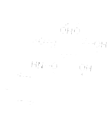 O=C(O)C(O)C(ONC1CCCCC1)C(=O)O